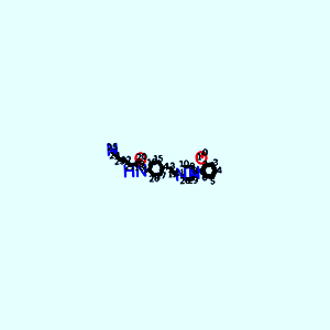 COc1ccccc1N1CCN(CC[C@H]2CC[C@H](NC(=O)CCCC#N)CC2)CC1